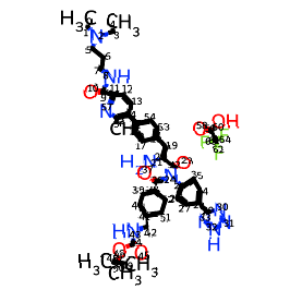 CCN(CC)CCCNC(=O)c1ccc(-c2ccc(C[C@H](N)C(=O)N(c3ccc(-c4nn[nH]n4)cc3)C(=O)[C@H]3CC[C@H](CNC(=O)OC(C)(C)C)CC3)cc2)c(C)n1.O=C(O)C(F)(F)F